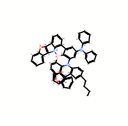 CCCCc1ccc(N2c3cc(N(c4ccccc4)c4ccccc4)cc4c3B(c3ccc5oc6ccccc6c5c32)n2c3c-4cccc3c3oc4ccccc4c32)c(-c2ccccc2)c1